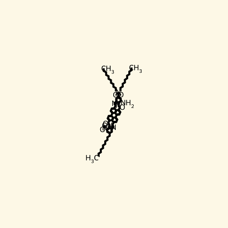 CCCCCCCCCCCCc1cc([N+](=O)[O-])c2c(c1)nc1c3ccc4c5ccc6c(=O)n7c(nc8cc(S(=O)(=O)N(CCCCCCCCCCCC)CCCCCCCCCCCC)cc(N)c87)c7ccc(c8ccc(c(=O)n12)c3c84)c5c67